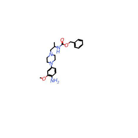 COc1cc(N2CCN(CC(C)NC(=O)OCc3ccccc3)CC2)ccc1N